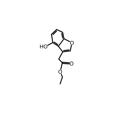 CCOC(=O)Cc1coc2cccc(O)c12